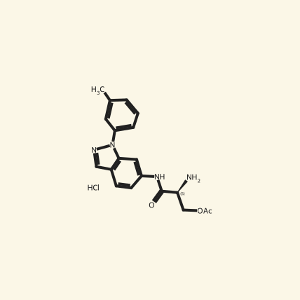 CC(=O)OC[C@H](N)C(=O)Nc1ccc2cnn(-c3cccc(C)c3)c2c1.Cl